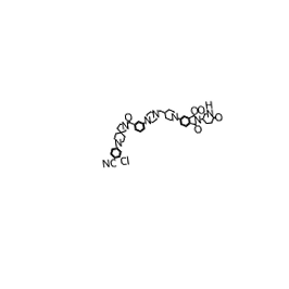 N#Cc1ccc(N2CCC3(CCN(C(=O)c4cccc(N5CCN(CC6CCN(c7ccc8c(c7)C(=O)N(C7CCC(=O)NC7=O)C8=O)CC6)CC5)c4)C3)CC2)cc1Cl